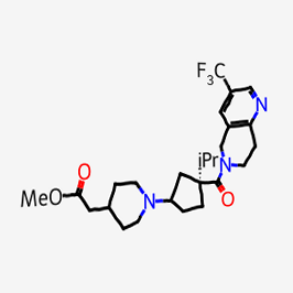 COC(=O)CC1CCN(C2CC[C@@](C(=O)N3CCc4ncc(C(F)(F)F)cc4C3)(C(C)C)C2)CC1